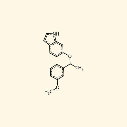 COc1cccc(C(C)Oc2ccc3cc[nH]c3c2)c1